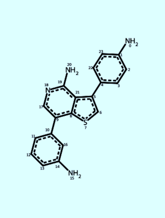 Nc1ccc(-c2csc3c(-c4cccc(N)c4)cnc(N)c23)cc1